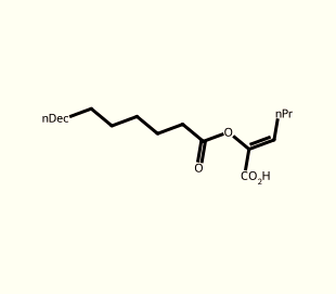 CCCC=C(OC(=O)CCCCCCCCCCCCCCC)C(=O)O